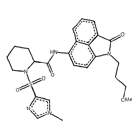 COCCCN1C(=O)c2cccc3c(NC(=O)C4CCCCN4S(=O)(=O)c4cn(C)cn4)ccc1c23